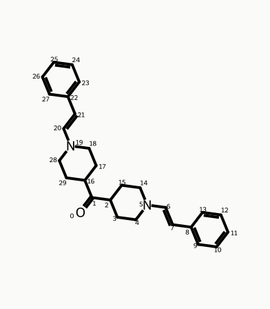 O=C(C1CCN(C=Cc2ccccc2)CC1)C1CCN(C=Cc2ccccc2)CC1